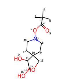 CC(C)(C)C(=O)ON1CCC(CO)(C(O)CO)CC1